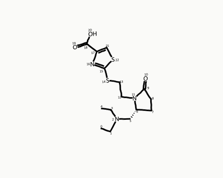 CCN(CC)C[C@H]1CCC(=O)N1CCSc1nc(C(=O)O)cs1